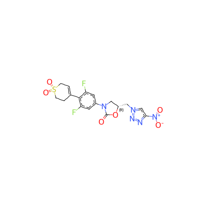 O=C1O[C@@H](Cn2cc([N+](=O)[O-])nn2)CN1c1cc(F)c(C2=CCS(=O)(=O)CC2)c(F)c1